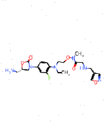 CCN(CCON(C)C(=O)CNCc1cnoc1)c1ccc(N2C[C@H](CN)OC2=O)cc1F